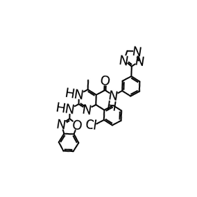 CC1=C(C(=O)Nc2cccc(C3=NCN=N3)c2)C(c2ccccc2Cl)N=C(Nc2nc3ccccc3o2)N1